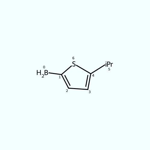 Bc1ccc(C(C)C)s1